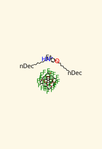 CCCCCCCCCCCCCCCCCCOc1ccc([NH+](CC)CCCCCCCCCCCCCCCCCC)cc1.Fc1c(F)c(F)c2c([B-](c3c(F)c(F)c(F)c4c(F)c(F)c(F)c(F)c34)(c3c(F)c(F)c(F)c4c(F)c(F)c(F)c(F)c34)c3c(F)c(F)c(F)c4c(F)c(F)c(F)c(F)c34)c(F)c(F)c(F)c2c1F